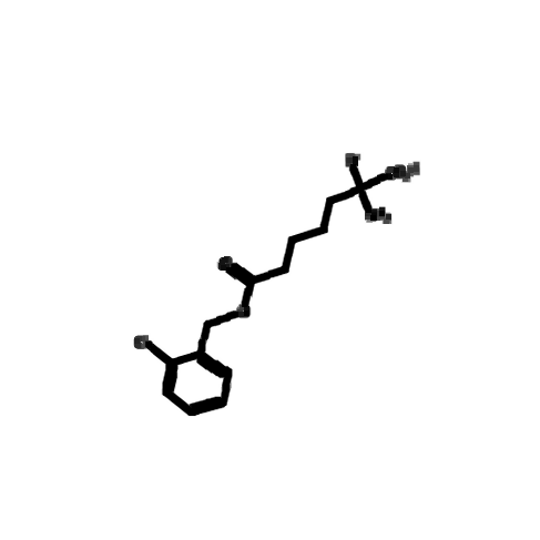 NC(Br)(CCCCC(=O)OCc1ccccc1Cl)C(=O)O